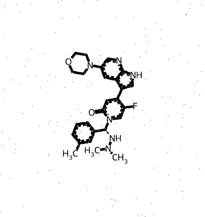 Cc1cccc([C@@H](NN(C)C)n2cc(F)c(-c3c[nH]c4ncc(N5CCOCC5)cc34)cc2=O)c1